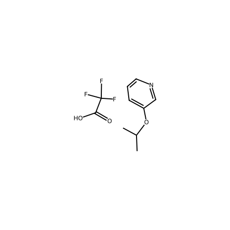 CC(C)Oc1cccnc1.O=C(O)C(F)(F)F